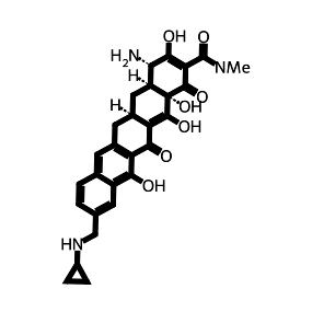 CNC(=O)C1=C(O)[C@@H](N)[C@@H]2C[C@@H]3Cc4cc5ccc(CNC6CC6)cc5c(O)c4C(=O)C3=C(O)[C@]2(O)C1=O